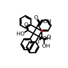 O=C(O)CC(C(=O)O)(c1ccccc1)C(C(=O)O)(c1ccccc1)C(C(=O)O)(c1ccccc1)c1ccccc1